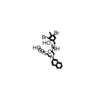 Cc1c(Br)cc(/C=N/NC(=O)CN(CCSOOO)c2ccc3ccccc3c2)c(O)c1Br